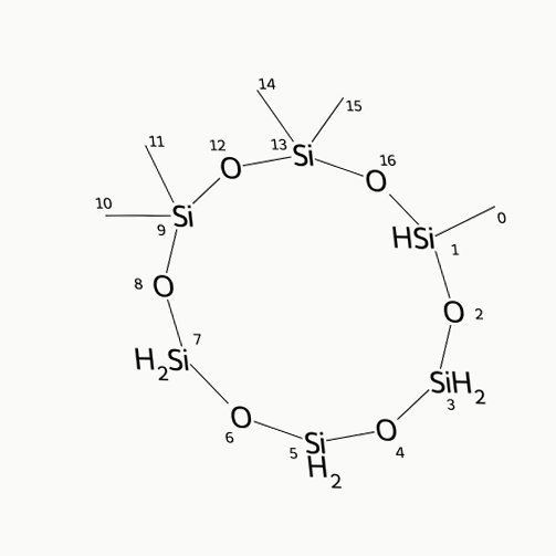 C[SiH]1O[SiH2]O[SiH2]O[SiH2]O[Si](C)(C)O[Si](C)(C)O1